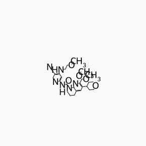 COCCNc1cc(NC(=O)N2CCCc3cc(C4CCOCC4)c(C(OC)OC)nc32)ncc1C#N